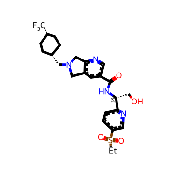 CCS(=O)(=O)c1ccc([C@@H](CO)NC(=O)c2cnc3c(c2)CN(C[C@H]2CC[C@@H](C(F)(F)F)CC2)C3)nc1